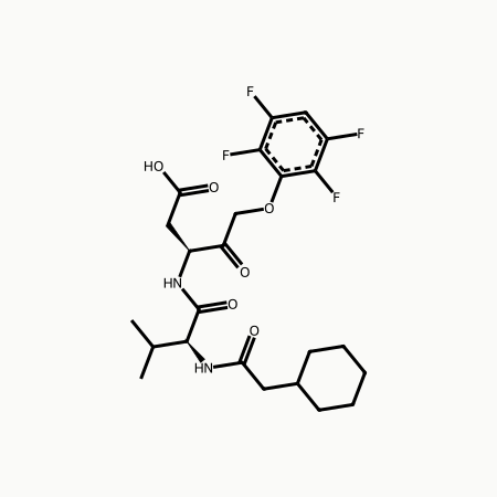 CC(C)[C@H](NC(=O)CC1CCCCC1)C(=O)N[C@@H](CC(=O)O)C(=O)COc1c(F)c(F)cc(F)c1F